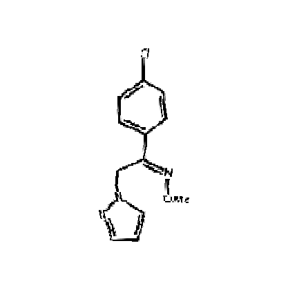 CON=C(Cn1cccn1)c1ccc(Cl)cc1